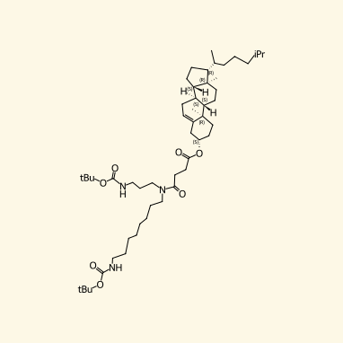 CC(C)CCCC(C)[C@H]1CC[C@H]2[C@@H]3CC=C4C[C@@H](OC(=O)CCC(=O)N(CCCCCCCCNC(=O)OC(C)(C)C)CCCNC(=O)OC(C)(C)C)CC[C@]4(C)[C@H]3CC[C@]12C